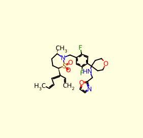 C=C/C(=C\C=C/C)[C@H]1CC[C@H](C)N(Cc2cc(F)c(C3(NCc4ncco4)CCOCC3)cc2F)S1(=O)=O